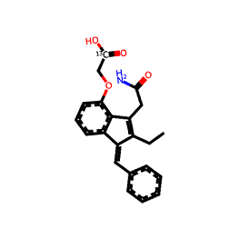 CCC1=C(CC(N)=O)c2c(OC[13C](=O)O)cccc2C1=Cc1ccccc1